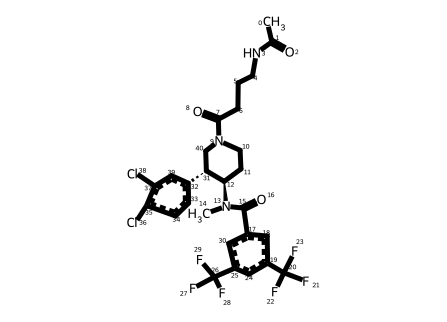 CC(=O)NCCCC(=O)N1CC[C@@H](N(C)C(=O)c2cc(C(F)(F)F)cc(C(F)(F)F)c2)[C@H](c2ccc(Cl)c(Cl)c2)C1